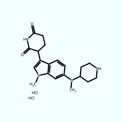 CN(c1ccc2c(C3CCC(=O)NC3=O)cn(C)c2c1)C1CCNCC1.Cl.Cl